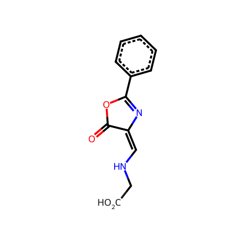 O=C(O)CNC=C1N=C(c2ccccc2)OC1=O